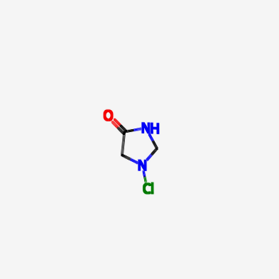 O=C1CN(Cl)CN1